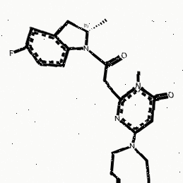 C[C@H]1Cc2cc(F)ccc2N1C(=O)Cc1nc(N2CCOCC2)cc(=O)n1C